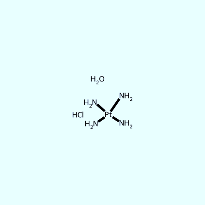 Cl.O.[NH2][Pt]([NH2])([NH2])[NH2]